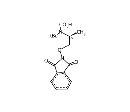 C[C@@H](CON1C(=O)c2ccccc2C1=O)N(C(=O)O)C(C)(C)C